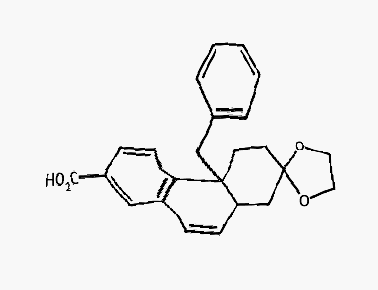 O=C(O)c1ccc2c(c1)C=CC1CC3(CCC21Cc1ccccc1)OCCO3